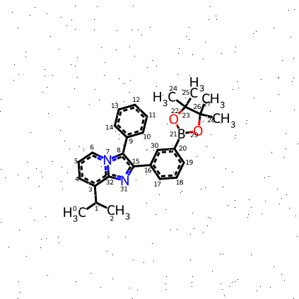 CC(C)c1cccn2c(-c3ccccc3)c(-c3cccc(B4OC(C)(C)C(C)(C)O4)c3)nc12